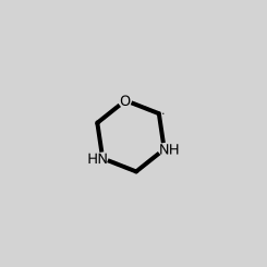 [CH]1NCNCO1